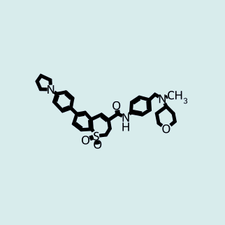 CN(Cc1ccc(NC(=O)C2=Cc3cc(-c4ccc(N5CCCC5)cc4)ccc3S(=O)(=O)CC2)cc1)C1CCOCC1